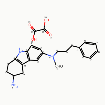 NC1CCc2[nH]c3ccc(N(C=O)CCCc4ccccc4)cc3c2C1.O=C(O)C(=O)O